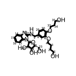 OCCCCOc1cc(CNc2nc3ccccc3n2[C@@H]2O[C@H](CO)[C@@H](O)[C@H]2O)ccc1OCCCO